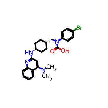 CN(C)c1cc(N[C@H]2CC[C@@H](CN(C(=O)O)c3ccc(Br)cc3)CC2)nc2ccccc12